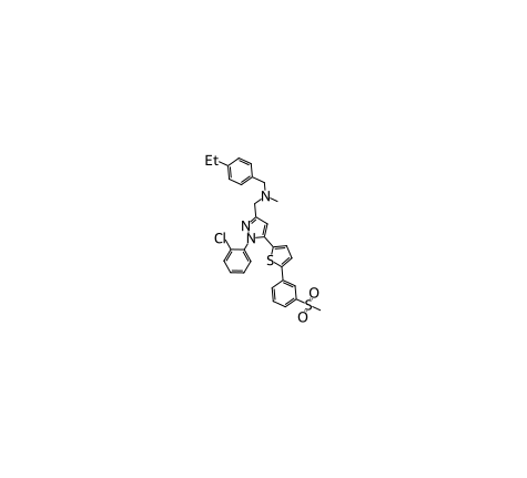 CCc1ccc(CN(C)Cc2cc(-c3ccc(-c4cccc(S(C)(=O)=O)c4)s3)n(-c3ccccc3Cl)n2)cc1